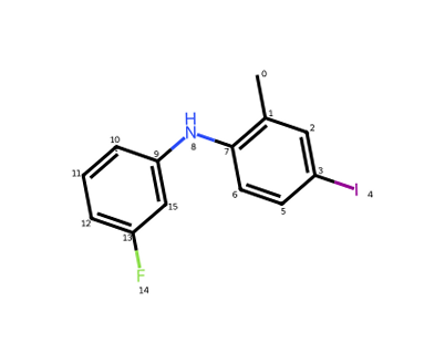 Cc1cc(I)ccc1Nc1[c]ccc(F)c1